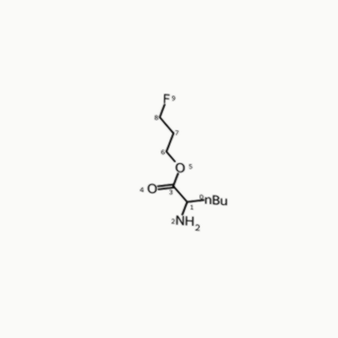 CCCCC(N)C(=O)OCCCF